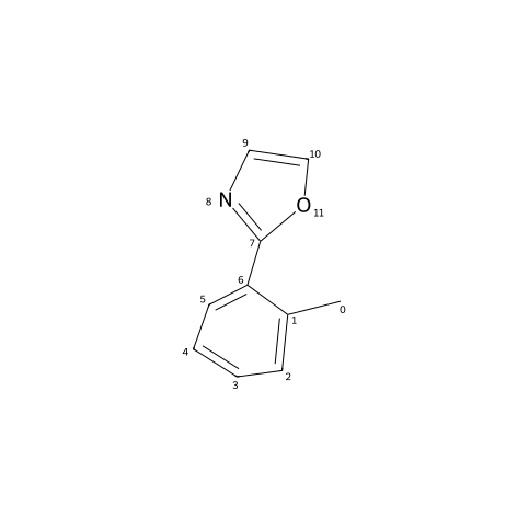 Cc1ccccc1-c1ncco1